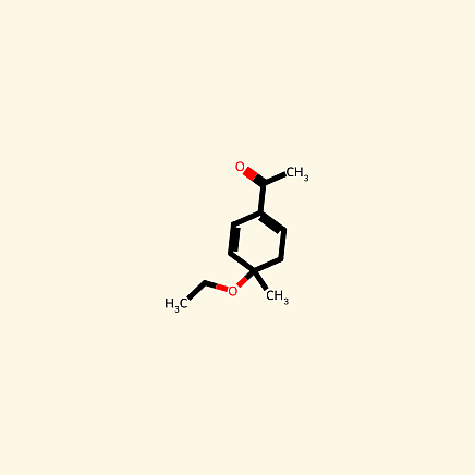 CCOC1(C)C=CC(C(C)=O)=CC1